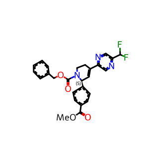 COC(=O)c1ccc([C@@H]2C=C(c3cnc(C(F)F)cn3)CCN2C(=O)OCc2ccccc2)cc1